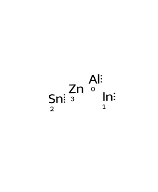 [Al].[In].[Sn].[Zn]